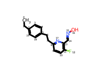 CCc1ccc(CCc2ccc(F)c(C=NO)n2)cc1